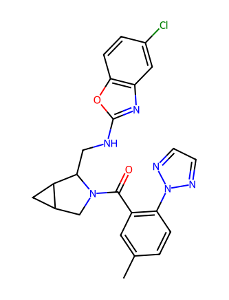 Cc1ccc(-n2nccn2)c(C(=O)N2CC3CC3C2CNc2nc3cc(Cl)ccc3o2)c1